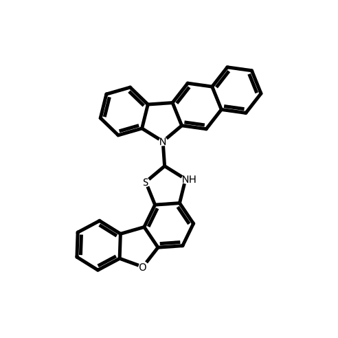 c1ccc2cc3c(cc2c1)c1ccccc1n3C1Nc2ccc3oc4ccccc4c3c2S1